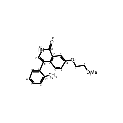 COCCOc1ccc2c(-c3ccccc3C)c[nH]c(=O)c2c1